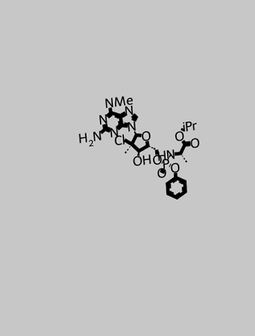 CNc1nc(N)nc2c1ncn2[C@@H]1O[C@H](CO[P@@](=O)(N[C@@H](C)C(=O)OC(C)C)Oc2ccccc2)[C@@H](O)[C@@]1(C)Cl